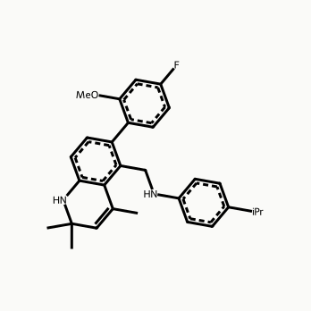 COc1cc(F)ccc1-c1ccc2c(c1CNc1ccc(C(C)C)cc1)C(C)=CC(C)(C)N2